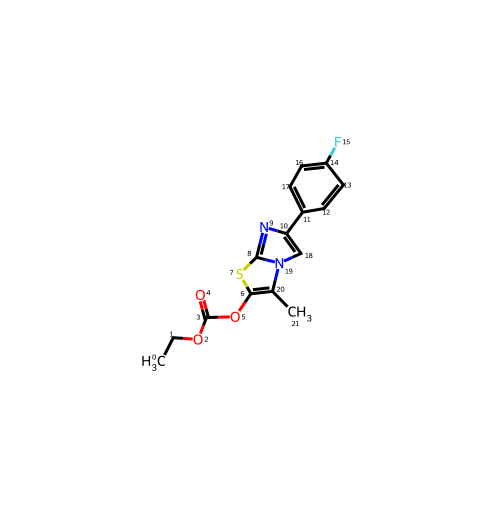 CCOC(=O)Oc1sc2nc(-c3ccc(F)cc3)cn2c1C